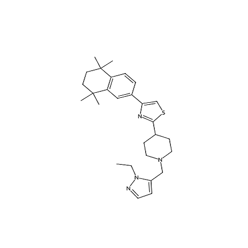 CCn1nccc1CN1CCC(c2nc(-c3ccc4c(c3)C(C)(C)CCC4(C)C)cs2)CC1